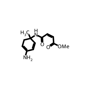 COC(=O)/C=C\C(=O)NC1(C)C=CC(N)=CC1